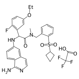 CCOc1ccc(F)c(C(Nc2ccc3c(N)nccc3c2)C(=O)N(C)Cc2ccccc2S(=O)(=O)C2CCC2)c1.O=C(O)C(F)(F)F